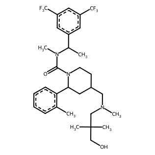 Cc1ccccc1C1CC(CN(C)CC(C)(C)CO)CCN1C(=O)N(C)C(C)c1cc(C(F)(F)F)cc(C(F)(F)F)c1